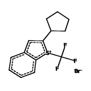 FC(F)(F)[s+]1c(C2CCCC2)cc2ccccc21.[Br-]